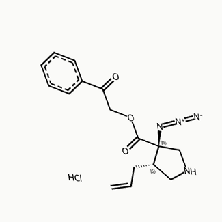 C=CC[C@H]1CNC[C@@]1(N=[N+]=[N-])C(=O)OCC(=O)c1ccccc1.Cl